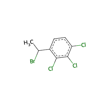 CC(Br)c1ccc(Cl)c(Cl)c1Cl